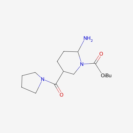 CC(C)COC(=O)N1CC(C(=O)N2CCCC2)CCC1N